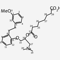 COc1cccc(CCc2ccccc2OCC(CN(C)C)OC(=O)CCCCCCC(=O)O)c1